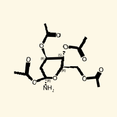 CC(=O)OC[C@H]1O[C@@](N)(OC(C)=O)C[C@@H](OC(C)=O)[C@@H]1OC(C)=O